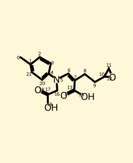 Cc1ccc(N(C=C(CCC2CO2)C(=O)O)CC(=O)O)cc1